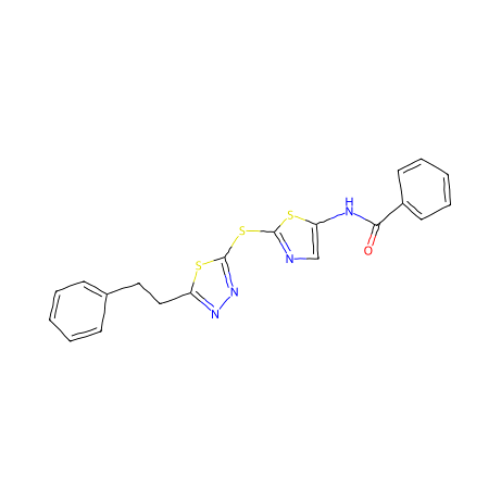 O=C(Nc1cnc(Sc2nnc(CCc3ccccc3)s2)s1)c1ccccc1